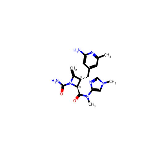 C=C1[C@H](Cc2cc(C)nc(N)c2)[C@@H](C(=O)N(C)c2cn(C)cn2)N1C(N)=O